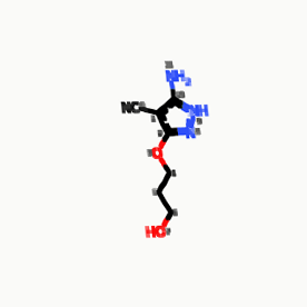 N#Cc1c(OCCCO)n[nH]c1N